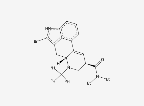 [2H]C([2H])([2H])N1C[C@H](C(=O)N(CC)CC)C=C2c3cccc4[nH]c(Br)c(c34)C[C@H]21